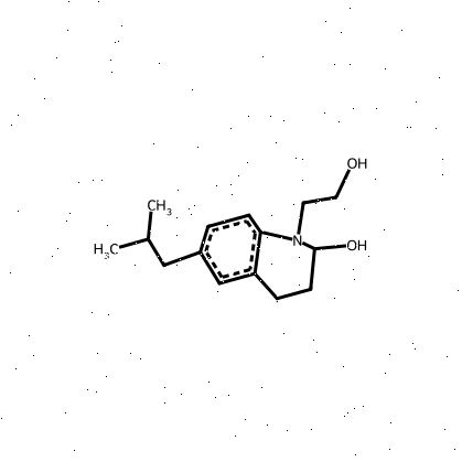 CC(C)Cc1ccc2c(c1)[CH]CC(O)N2CCO